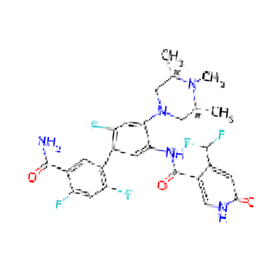 C[C@@H]1CN(c2cc(F)c(-c3cc(C(N)=O)c(F)cc3F)cc2NC(=O)c2c[nH]c(=O)cc2C(F)F)C[C@H](C)N1C